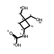 O=C(O)NC1CC(CO)(CO)C1